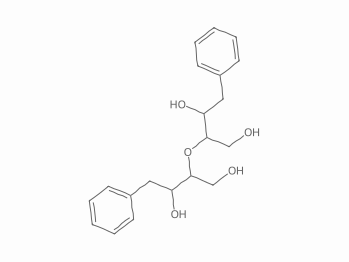 OCC(OC(CO)C(O)Cc1ccccc1)C(O)Cc1ccccc1